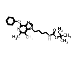 Cc1nc(Oc2ccccc2)c2ncn(CCCCNC(=O)OC(C)(C)C)c2c1C